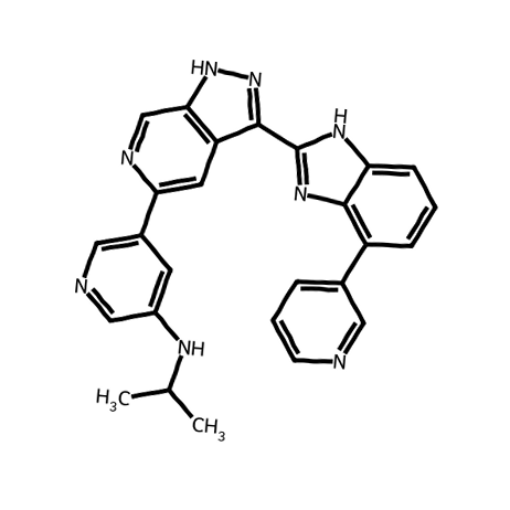 CC(C)Nc1cncc(-c2cc3c(-c4nc5c(-c6cccnc6)cccc5[nH]4)n[nH]c3cn2)c1